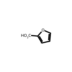 O=C(O)c1[c]cco1